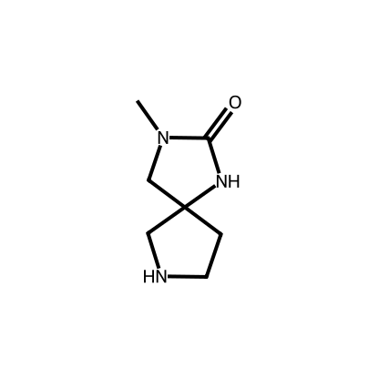 CN1CC2(CCNC2)NC1=O